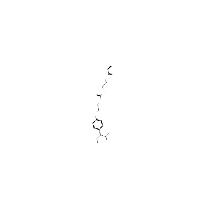 C=CC(=O)OCCNC(=O)OCCOc1ccc(C(CC)C(C)C)cc1